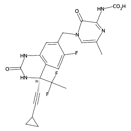 Cc1cn(Cc2cc3c(cc2F)[C@@](C#CC2CC2)(C(C)(F)F)NC(=O)N3)c(=O)c(NC(=O)O)n1